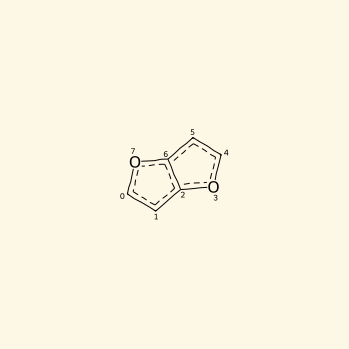 c1cc2occc2o1